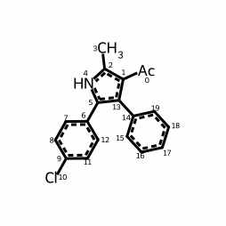 CC(=O)c1c(C)[nH]c(-c2ccc(Cl)cc2)c1-c1ccccc1